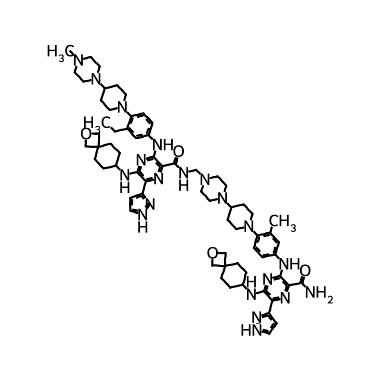 CCc1cc(Nc2nc(NC3CCC4(CC3)COC4)c(-c3cc[nH]n3)nc2C(=O)NCN2CCN(C3CCN(c4ccc(Nc5nc(NC6CCC7(CC6)COC7)c(-c6cc[nH]n6)nc5C(N)=O)cc4C)CC3)CC2)ccc1N1CCC(N2CCN(C)CC2)CC1